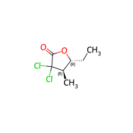 CC[C@H]1OC(=O)C(Cl)(Cl)[C@@H]1C